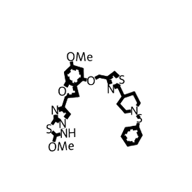 COc1cc(OCc2csc(C3CCN(Sc4ccccc4)CC3)n2)c2cc(-c3cn4c(n3)SC(OC)N4)oc2c1